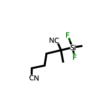 CC(C#N)(CCCC#N)[Si](C)(F)F